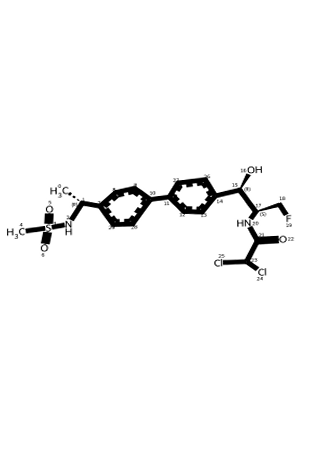 C[C@@H](NS(C)(=O)=O)c1ccc(-c2ccc([C@@H](O)[C@@H](CF)NC(=O)C(Cl)Cl)cc2)cc1